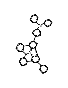 c1ccc(-c2cc3c4c(c2)c2cc(-c5ccc(N(c6ccccc6)c6ccccc6)cc5)cc5c2n4B(c2ccccc2-3)c2ccccc2-5)cc1